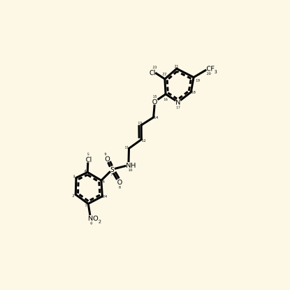 O=[N+]([O-])c1ccc(Cl)c(S(=O)(=O)NCC=CCOc2ncc(C(F)(F)F)cc2Cl)c1